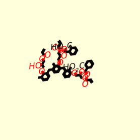 C=CC(=O)OCC(O)COC1C(Cc2ccc(Cc3cccc(OCC(COC(=O)C=C)OC(=O)C4CC=CCC4C(=O)O)c3C)c(OCC(COC(=O)C=C)OC(=O)C3CC=CCC3C(=O)O)c2C)=CC=CC1C